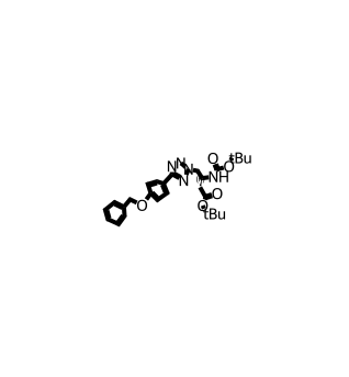 CC(C)(C)OC(=O)C[C@H](Cn1nnc(-c2ccc(OCc3ccccc3)cc2)n1)NC(=O)OC(C)(C)C